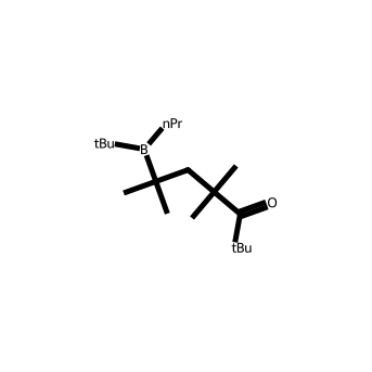 CCCB(C(C)(C)C)C(C)(C)CC(C)(C)C(=O)C(C)(C)C